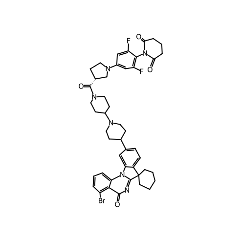 O=C([C@@H]1CCN(c2cc(F)c(N3C(=O)CCCC3=O)c(F)c2)C1)N1CCC(N2CCC(c3ccc4c(c3)-n3c(nc(=O)c5c(Br)cccc53)C43CCCCC3)CC2)CC1